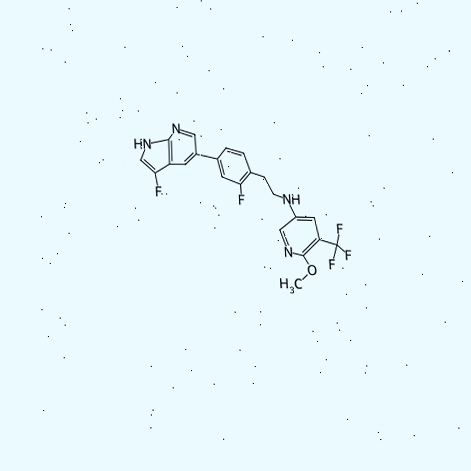 COc1ncc(NCCc2ccc(-c3cnc4[nH]cc(F)c4c3)cc2F)cc1C(F)(F)F